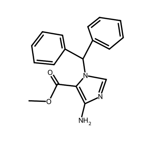 COC(=O)c1c(N)ncn1C(c1ccccc1)c1ccccc1